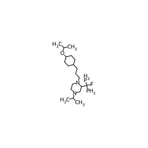 CC(C)OC1CCC(CCCN2CCN(C(C)C)CC2C(F)(P)P)CC1